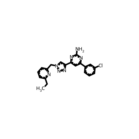 CCc1cccc(Cn2cc(-c3cc(-c4cccc(Cl)c4)nc(N)n3)nn2)n1